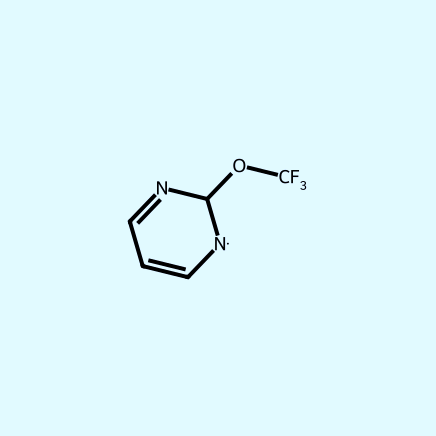 FC(F)(F)OC1[N]C=CC=N1